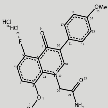 CCCOc1ccc(F)c2c(=O)c(-c3ccc(OC)cc3)cn(CC(N)=O)c12.Cl.Cl